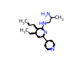 C=C/C=c1/c(NCC(C)N)nc(-c2ccncc2)c/c1=C/C